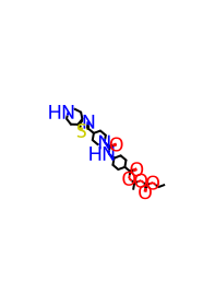 CCOC(=O)OC(C)OC(=O)C1CCC(NC(=O)N2CCC(c3nc4c(s3)CCNCC4)CC2)CC1